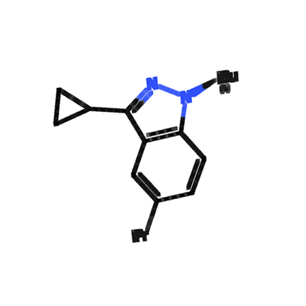 CC[C@H](C)n1nc(C2CC2)c2cc(C(C)C)ccc21